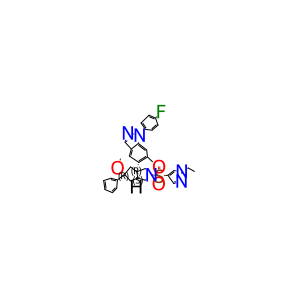 CCn1cc(S(=O)(=O)N2C[C@H]3C[C@](OC)(c4ccccc4)C[C@@]3(c3cc4cnn(-c5ccc(F)cc5)c4cc3C)C2)cn1